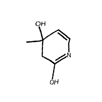 CC1(O)C=CN=C(O)C1